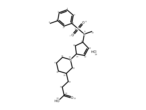 Cc1cccc(S(=O)(=O)N(C)C2C=CC(N3CCCC(CCC(=O)O)C3)C2)c1.Cl